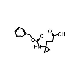 O=C(O)CCC1(NC(=O)OCc2ccccc2)CC1